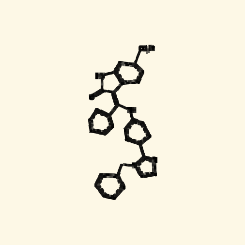 CCOC(=O)c1ccc2c(c1)NC(=O)/C2=C(/Nc1ccc(-c2nccn2Cc2ccccc2)cc1)c1ccccc1